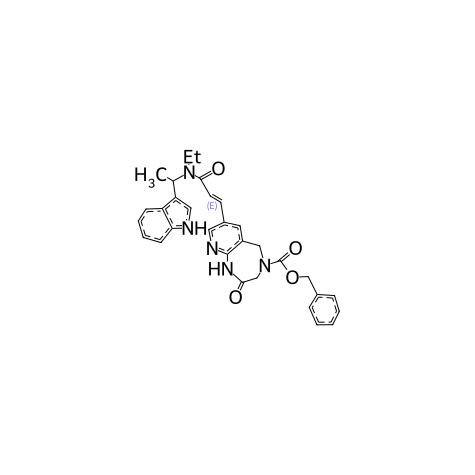 CCN(C(=O)/C=C/c1cnc2c(c1)CN(C(=O)OCc1ccccc1)CC(=O)N2)C(C)c1c[nH]c2ccccc12